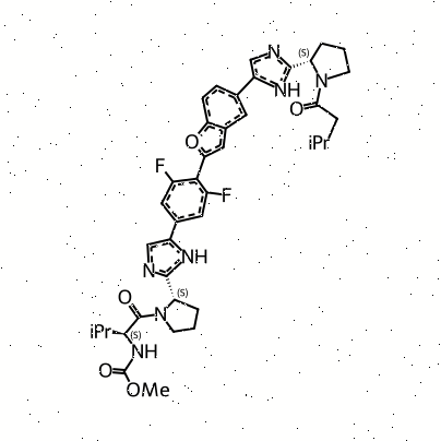 COC(=O)N[C@H](C(=O)N1CCC[C@H]1c1ncc(-c2cc(F)c(-c3cc4cc(-c5cnc([C@@H]6CCCN6C(=O)CC(C)C)[nH]5)ccc4o3)c(F)c2)[nH]1)C(C)C